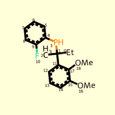 CCC(C)(Pc1ccccc1F)c1cccc(OC)c1OC